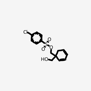 O=S(=O)(OCC1(CO)C=[C]C=CC1)c1ccc(Cl)cc1